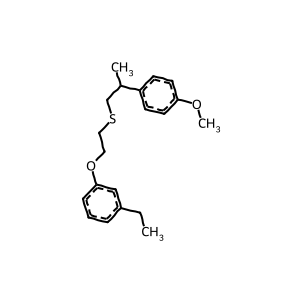 CCc1cccc(OCCSCC(C)c2ccc(OC)cc2)c1